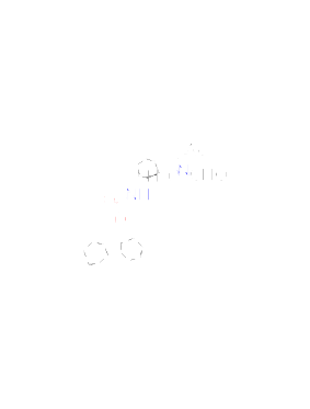 CC(=O)[C@H](Cc1ccc(CNC(=O)OCC2c3ccccc3-c3ccccc32)cc1)N(C)C=O